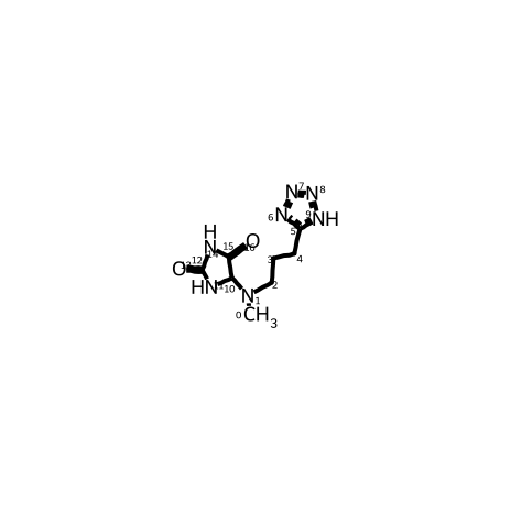 CN(CCCc1nnn[nH]1)C1NC(=O)NC1=O